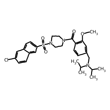 COc1cc(CN(C(C)C)C(C)C)ccc1C(=O)N1CCN(S(=O)(=O)c2ccc3cc(Cl)ccc3c2)CC1